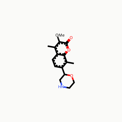 COc1c(C)c2ccc(C3CNCCO3)c(C)c2oc1=O